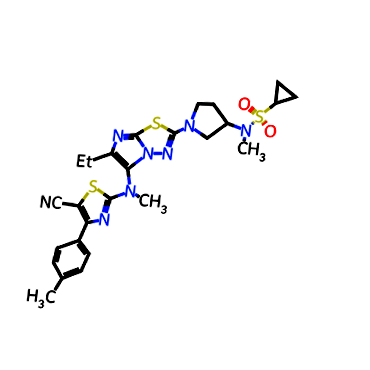 CCc1nc2sc(N3CCC(N(C)S(=O)(=O)C4CC4)C3)nn2c1N(C)c1nc(-c2ccc(C)cc2)c(C#N)s1